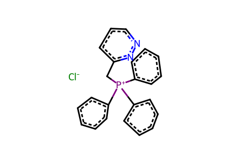 [Cl-].c1ccc([P+](Cc2cccnn2)(c2ccccc2)c2ccccc2)cc1